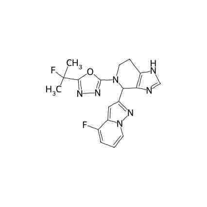 CC(C)(F)c1nnc(N2CCc3[nH]cnc3C2c2cc3c(F)cccn3n2)o1